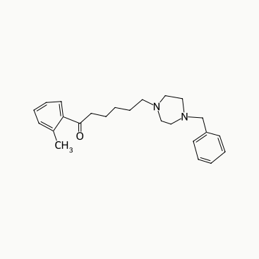 Cc1ccccc1C(=O)CCCCCN1CCN(Cc2ccccc2)CC1